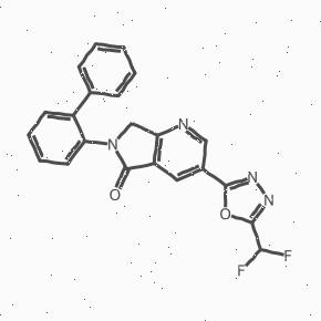 O=C1c2cc(-c3nnc(C(F)F)o3)cnc2CN1c1ccccc1-c1ccccc1